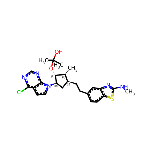 CNc1nc2cc(CC[C@H]3C[C@@H](n4ccc5c(Cl)ncnc54)[C@H](OC(C)(C)O)[C@@H]3C)ccc2s1